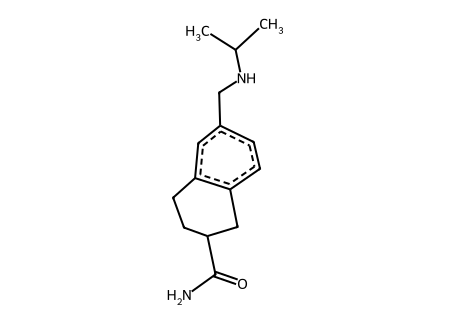 CC(C)NCc1ccc2c(c1)CCC(C(N)=O)C2